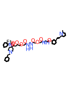 CCC(=O)N(c1ccccc1)C1(C(=O)CC(=O)COCC(=O)NCNC(=O)COCC(=O)NCCOc2cccc(C#Cc3cccc(C)n3)c2)CCN(CCc2ccccc2)CC1